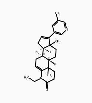 CCN1C(=O)CCC2(C)C1=CC[C@H]1[C@H]3CC=C(c4cncc(C)c4)C3(C)CC[C@@H]12